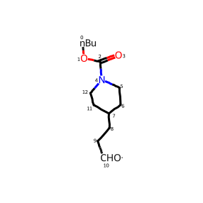 CCCCOC(=O)N1CCC(CC[C]=O)CC1